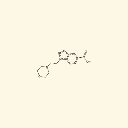 O=C(O)c1ccc2c(cnn2CCN2CCOCC2)c1